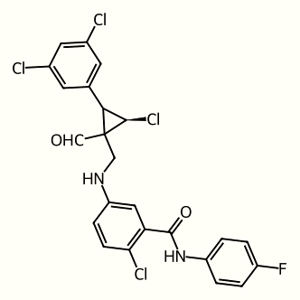 O=CC1(CNc2ccc(Cl)c(C(=O)Nc3ccc(F)cc3)c2)C(c2cc(Cl)cc(Cl)c2)[C@H]1Cl